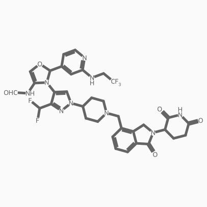 O=CNC1=COC(c2ccnc(NCC(F)(F)F)c2)N1c1cn(C2CCN(Cc3cccc4c3CN(C3CCC(=O)NC3=O)C4=O)CC2)nc1C(F)F